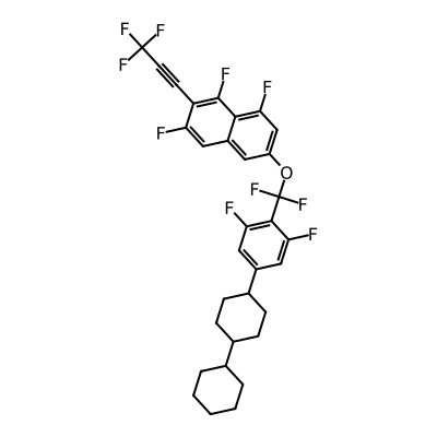 Fc1cc2cc(OC(F)(F)c3c(F)cc(C4CCC(C5CCCCC5)CC4)cc3F)cc(F)c2c(F)c1C#CC(F)(F)F